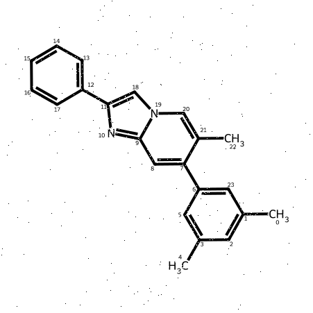 Cc1cc(C)cc(-c2cc3nc(-c4ccccc4)cn3cc2C)c1